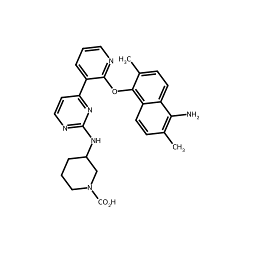 Cc1ccc2c(Oc3ncccc3-c3ccnc(NC4CCCN(C(=O)O)C4)n3)c(C)ccc2c1N